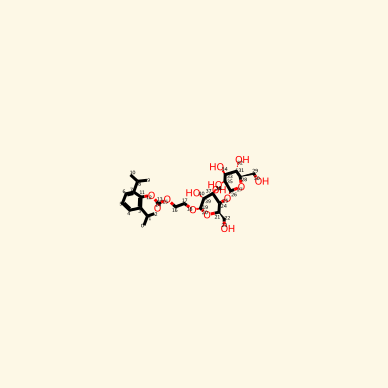 CC(C)c1cccc(C(C)C)c1OC(=O)OCCO[C@@H]1O[C@H](CO)C(O[C@H]2O[C@H](CO)[C@@H](O)[C@H](O)[C@H]2O)[C@H](O)[C@H]1O